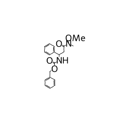 CON(C)C(=O)CC(NC(=O)OCc1ccccc1)c1ccccc1